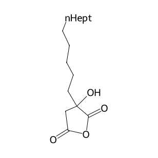 CCCCCCCCCCCCC1(O)CC(=O)OC1=O